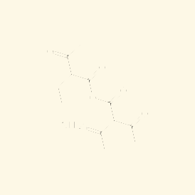 CCC(C(C)=O)C(=O)OC(=O)C(C(C)=O)C(C)=O.[AlH3]